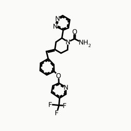 NC(=O)N1CC/C(=C\c2cccc(Oc3ccc(C(F)(F)F)cn3)c2)CC1c1cccnn1